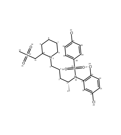 C[C@H](CCCN1CCCCC1CS(C)(=O)=O)N(c1cc(Cl)ccc1Cl)S(=O)(=O)c1ccc(Cl)cc1